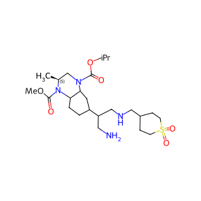 COC(=O)N1C2CCC(C(CN)CNCC3CCS(=O)(=O)CC3)CC2N(C(=O)OC(C)C)C[C@@H]1C